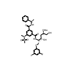 CO[C@@H](CO)C[C@H](O)[C@H](COc1cc(F)cc(F)c1)NC(=O)c1cc(C(=O)N[C@H](C)c2ccccc2)cc(N(C)S(C)(=O)=O)c1